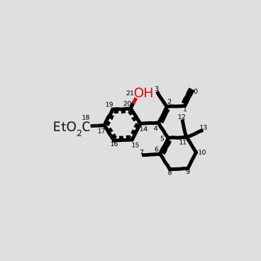 C=CC(C)=C(C1=C(C)CCCC1(C)C)c1ccc(C(=O)OCC)cc1O